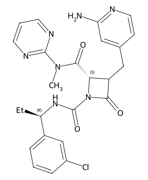 CC[C@@H](NC(=O)N1C(=O)C(Cc2ccnc(N)c2)[C@H]1C(=O)N(C)c1ncccn1)c1cccc(Cl)c1